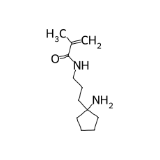 C=C(C)C(=O)NCCCC1(N)CCCC1